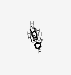 O=S(=O)(c1ccc(F)cc1F)N1[C@@H]2CC[C@H]1[C@H]1CNC[C@H]12